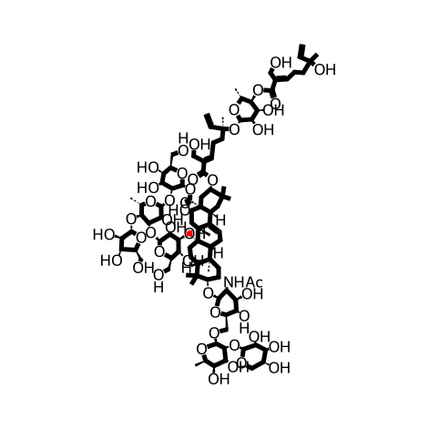 C=CC(C)(O)CC/C=C(\CO)C(=O)O[C@H]1[C@H](O)[C@@H](O)[C@H](O[C@](C)(C=C)CC/C=C(\CO)C(=O)O[C@H]2C[C@]3(C(=O)O[C@@H]4O[C@H](CO)[C@@H](O)[C@H](O)[C@H]4O[C@@H]4O[C@@H](C)[C@H](O[C@@H]5O[C@@H](CO)[C@H](O)[C@H]5O)[C@@H](O[C@@H]5O[C@H](CO)[C@@H](O)[C@H](O)[C@H]5O)[C@H]4O)[C@H](O)C[C@]4(C)C(=CC[C@@H]5[C@@]6(C)CC[C@H](O[C@@H]7O[C@H](CO[C@@H]8O[C@H](C)[C@H](O)[C@H](O)[C@H]8O[C@@H]8OC[C@@H](O)[C@H](O)[C@H]8O)[C@@H](O)[C@H](O)[C@H]7NC(C)=O)C(C)(C)[C@@H]6CC[C@]54C)[C@@H]3CC2(C)C)O[C@@H]1C